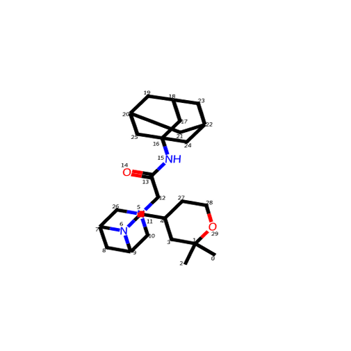 CC1(C)CC(CN2C3CC2CN(CC(=O)NC24CC5CC(CC(C5)C2)C4)C3)CCO1